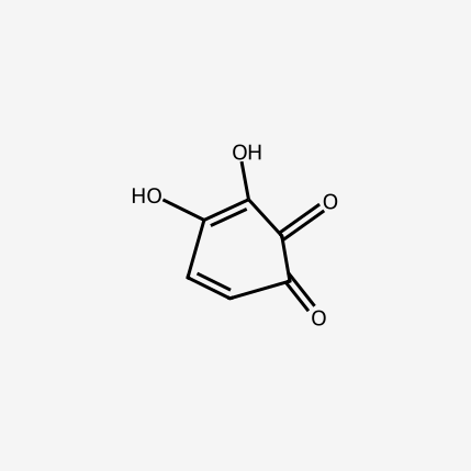 O=C1C=CC(O)=C(O)C1=O